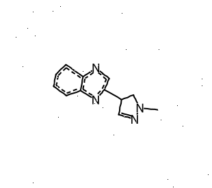 CN1CC(c2cnc3ccccc3n2)C=N1